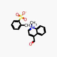 C[n+]1ccc(C=O)c2ccccc21.Cc1ccccc1S(=O)(=O)[O-]